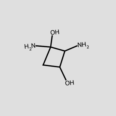 NC1C(O)CC1(N)O